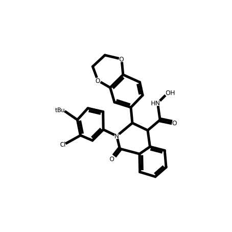 CC(C)(C)c1ccc(N2C(=O)c3ccccc3C(C(=O)NO)C2c2ccc3c(c2)OCCO3)cc1Cl